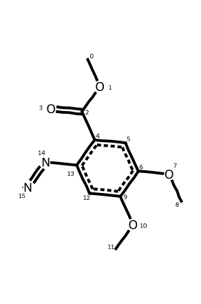 COC(=O)c1cc(OC)c(OC)cc1N=[N]